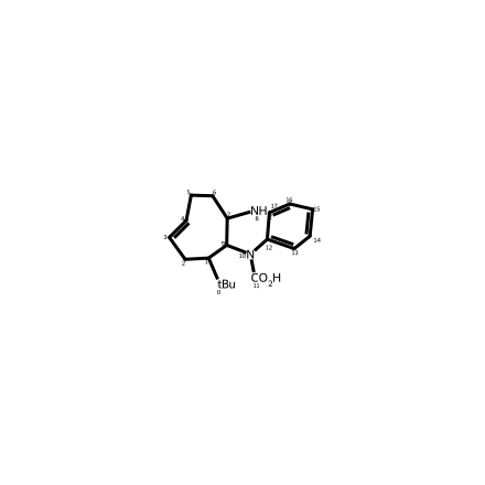 CC(C)(C)C1C/C=C/CCC(N)C1N(C(=O)O)c1ccccc1